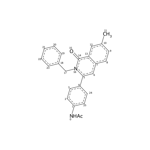 CC(=O)Nc1ccc(-c2cc3ccc(C)cc3c(=O)n2Cc2ccccc2)cc1